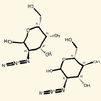 [N-]=[N+]=N[C@H]1C(O)O[C@H](CO)[C@@H](O)[C@@H]1O.[N-]=[N+]=N[C@H]1C(O)O[C@H](CO)[C@H](O)[C@@H]1O